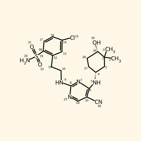 CC1(C)C[C@H](Nc2nc(NCCc3cc(Cl)ccc3S(N)(=O)=O)ncc2C#N)CC[C@@H]1O